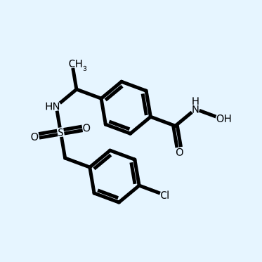 CC(NS(=O)(=O)Cc1ccc(Cl)cc1)c1ccc(C(=O)NO)cc1